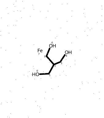 OCC(CO)CO.[Fe]